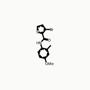 COc1ccc(NC(=O)c2sccc2Br)c(C)c1